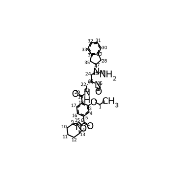 CCOc1cc(C(=O)N2C3CCCC2OC3)ccc1C(=O)NC[C@H](CN(N)C1Cc2ccccc2C1)N=O